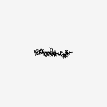 CCOC(=O)c1cn(CC(F)CCc2nnc(NC(=O)Cc3cc(-c4cccc(OC(F)(F)F)c4)ccn3)s2)nn1